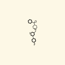 O=C(c1ccccc1)C1CCN(Cc2cncc(-c3ccc(F)cc3)c2)CC1